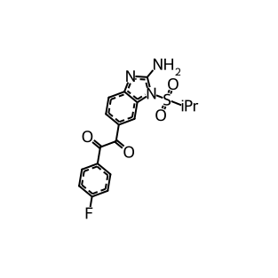 CC(C)S(=O)(=O)n1c(N)nc2ccc(C(=O)C(=O)c3ccc(F)cc3)cc21